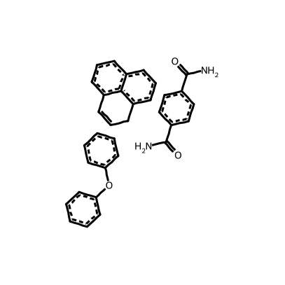 C1=Cc2cccc3cccc(c23)C1.NC(=O)c1ccc(C(N)=O)cc1.c1ccc(Oc2ccccc2)cc1